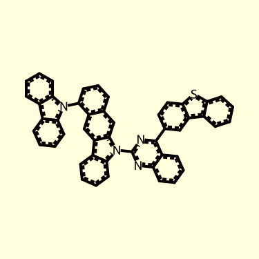 c1cc(-n2c3ccccc3c3ccccc32)c2cc3c4ccccc4n(-c4nc(-c5ccc6sc7ccccc7c6c5)c5ccccc5n4)c3cc2c1